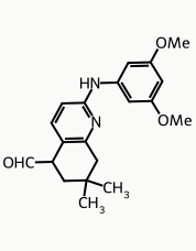 COc1cc(Nc2ccc3c(n2)CC(C)(C)CC3C=O)cc(OC)c1